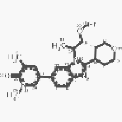 Cc1cc(-c2ccc3nc(C4CCOCC4)n(C(C)COC(C)C)c3c2)cn(C)c1=O